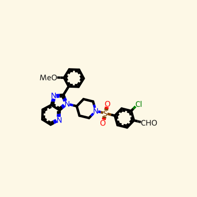 COc1ccccc1-c1nc2cccnc2n1C1CCN(S(=O)(=O)c2ccc(C=O)c(Cl)c2)CC1